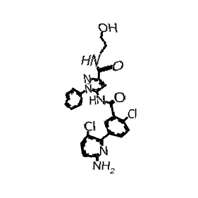 Nc1ccc(Cl)c(-c2ccc(Cl)c(C(=O)Nc3cc(C(=O)NCCO)nn3-c3ccccc3)c2)n1